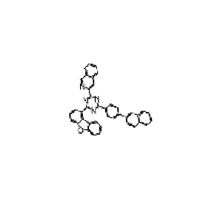 c1ccc2cc(-c3ccc(-c4nc(-c5cc6ccccc6cn5)nc(-c5cccc6oc7ccccc7c56)n4)cc3)ccc2c1